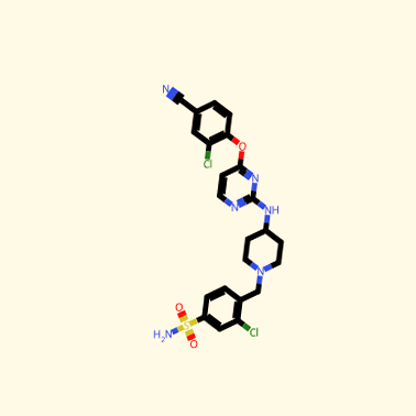 N#Cc1ccc(Oc2ccnc(NC3CCN(Cc4ccc(S(N)(=O)=O)cc4Cl)CC3)n2)c(Cl)c1